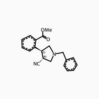 COC(=O)c1ccccc1[C@H]1CN(Cc2ccccc2)C[C@@H]1C#N